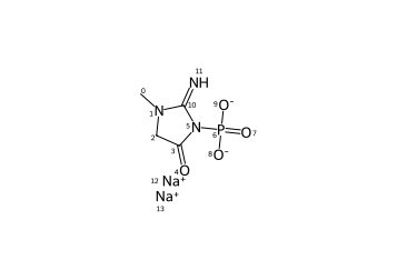 CN1CC(=O)N(P(=O)([O-])[O-])C1=N.[Na+].[Na+]